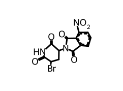 O=C1NC(=O)C(N2C(=O)c3cccc([N+](=O)[O-])c3C2=O)CC1Br